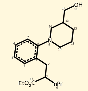 CCCC(Cc1ccccc1N1CCCC(CO)C1)C(=O)OCC